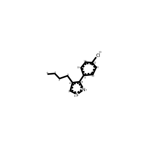 CCCCc1csnc1-c1ccc(Cl)cc1